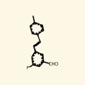 Cc1ccc(/C=C/c2cc(F)cc(C=O)c2)cc1